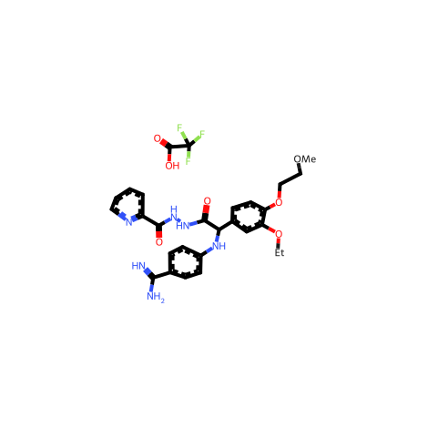 CCOc1cc(C(Nc2ccc(C(=N)N)cc2)C(=O)NNC(=O)c2ccccn2)ccc1OCCOC.O=C(O)C(F)(F)F